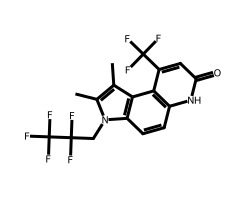 Cc1c(C)n(CC(F)(F)C(F)(F)F)c2ccc3[nH]c(=O)cc(C(F)(F)F)c3c12